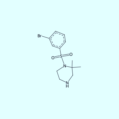 CC1(C)CNCCN1S(=O)(=O)c1cccc(Br)c1